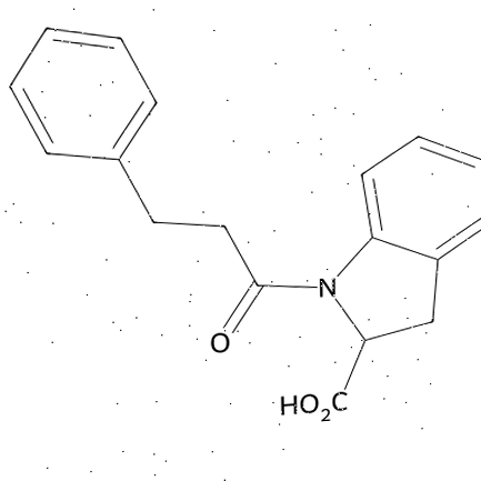 O=C(O)C1Cc2ccccc2N1C(=O)CCc1ccccc1